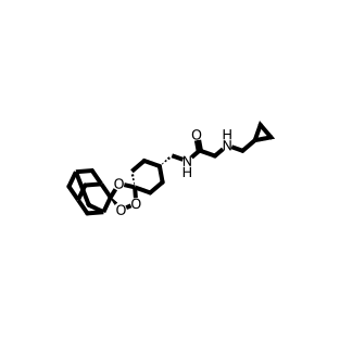 O=C(CNCC1CC1)NC[C@H]1CC[C@]2(CC1)OO[C@]1(O2)C2CC3CC(C2)CC1C3